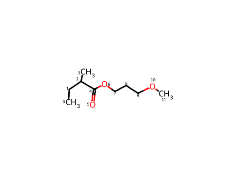 CCC(C)C(=O)OCCCOC